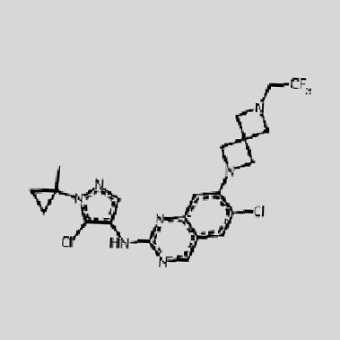 CC1(n2ncc(Nc3ncc4cc(Cl)c(N5CC6(CN(CC(F)(F)F)C6)C5)cc4n3)c2Cl)CC1